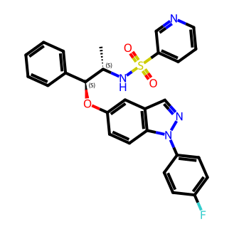 C[C@H](NS(=O)(=O)c1cccnc1)[C@@H](Oc1ccc2c(cnn2-c2ccc(F)cc2)c1)c1ccccc1